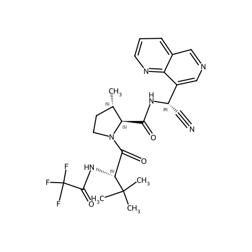 C[C@H]1CCN(C(=O)[C@@H](NC(=O)C(F)(F)F)C(C)(C)C)[C@@H]1C(=O)N[C@@H](C#N)c1cncc2cccnc12